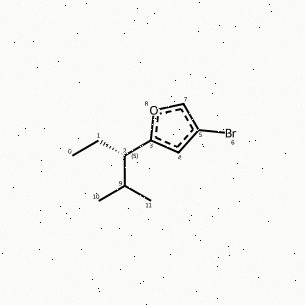 CC[C@H](c1cc(Br)co1)C(C)C